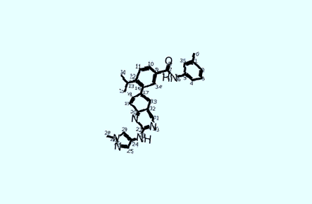 Cc1cccc(NC(=O)c2ccc(C(C)C)c(-c3ccc4nc(Nc5cnn(C)c5)ncc4c3)c2)c1